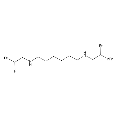 CCCC(CC)CNCCCCCCNCC(F)CC